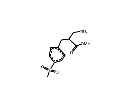 COC(=O)C(CN)Cc1ccc(S(C)(=O)=O)cc1